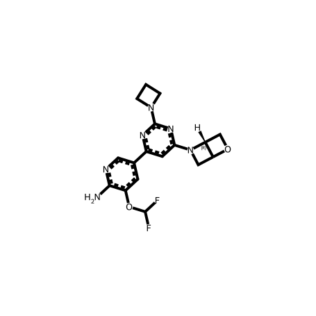 Nc1ncc(-c2cc(N3CC4OC[C@H]43)nc(N3CCC3)n2)cc1OC(F)F